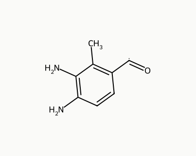 Cc1c([C]=O)ccc(N)c1N